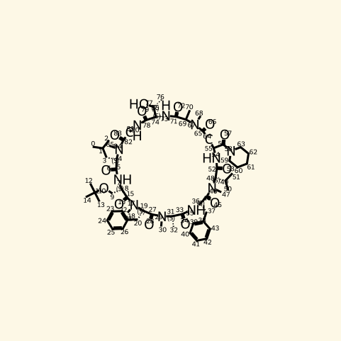 CC(C)C[C@H]1C(=O)N[C@@H](COC(C)(C)C)C(=O)N(C)[C@@H](Cc2ccccc2)C(=O)N(C)[C@@H](C)C(=O)N[C@@H](Cc2ccccc2)C(=O)N(C)[C@@H](C(C)C)C(=O)NC(C(=O)N2CCCCC2)CC(=O)N(C)C(C)C(=O)N[C@@H]([C@@H](C)O)C(=O)NCC(=O)N1C